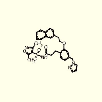 Cc1noc(C)c1S(=O)(=O)NC(=O)CCc1ccc(Cn2cccn2)cc1OCCc1ccc2ccccc2c1